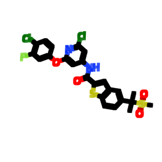 CC(C)(c1ccc2sc(C(=O)Nc3cc(Cl)nc(Oc4ccc(Cl)c(F)c4)c3)cc2c1)S(C)(=O)=O